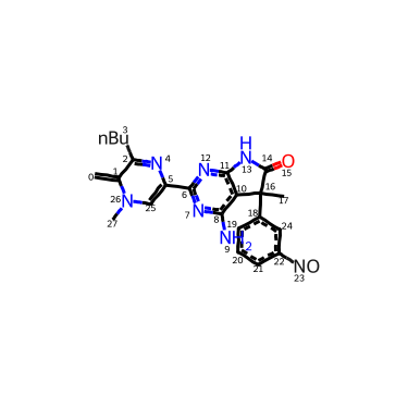 C=C1C(CCCC)=NC(c2nc(N)c3c(n2)NC(=O)C3(C)c2cccc(N=O)c2)=CN1C